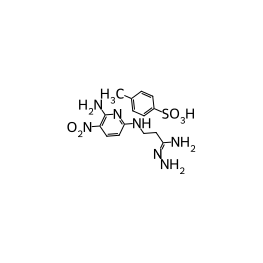 Cc1ccc(S(=O)(=O)O)cc1.NN=C(N)CCNc1ccc([N+](=O)[O-])c(N)n1